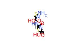 C=CC1(C(=O)O)CS[C@@H]2C(NC(=O)C(O)c3csc(N)n3)C(=O)N2C1